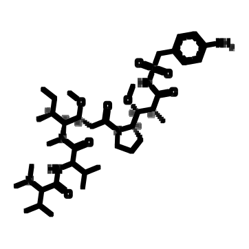 CC[C@H](C)[C@@H]([C@@H](CC(=O)N1CCC[C@H]1[C@H](OC)[C@@H](C)C(=O)NS(=O)(=O)Cc1ccc(N)cc1)OC)N(C)C(=O)C(NC(=O)C(C(C)C)N(C)C)C(C)C